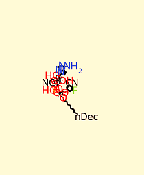 CCCCCCCCCCCCCCCCCCOC[C@H](COc1cc(F)cc(C#N)c1)OP(=O)(O)OC[C@@H](OC#N)[C@@H](O)[C@@H](O)c1ccc2c(N)ncnn12